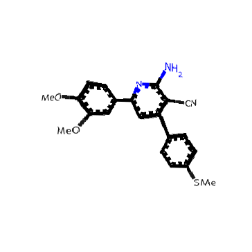 COc1ccc(-c2cc(-c3ccc(SC)cc3)c(C#N)c(N)n2)cc1OC